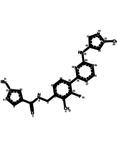 Cc1c(CNC(=O)c2cnn(C(C)(C)C)c2)ccc(-c2ncnc(Nc3cnn(C)c3)n2)c1F